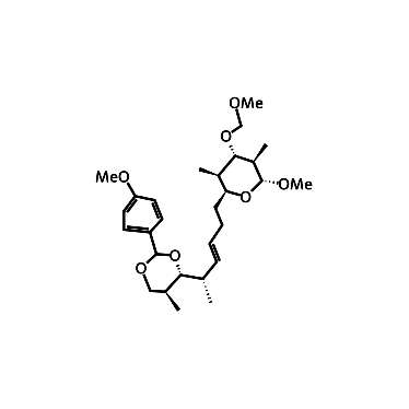 COCO[C@@H]1[C@@H](C)[C@H](OC)O[C@@H](CCC=C[C@H](C)[C@H]2OC(c3ccc(OC)cc3)OC[C@@H]2C)[C@H]1C